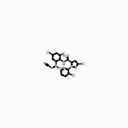 Cc1cc(Cl)cc(/S(C)=N\C#N)c1NC(=O)c1cc(Cl)nn1-c1ncccc1Cl